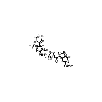 COc1cc([C@@H](C)C(=O)N2CC[C@]3(CCc4cc(C5CCOCC5)c(C)nc4N)CC23)c(F)cn1